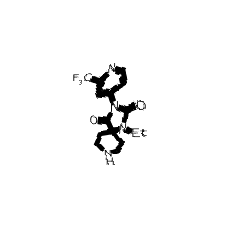 CCN1C(=O)N(c2ccnc(C(F)(F)F)c2)C(=O)C12CCNCC2